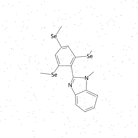 C[Se]c1cc([Se]C)c(-c2nc3ccccc3n2C)c([Se]C)c1